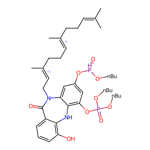 CCCCO[PH](=O)Oc1cc(OP(=O)(OCCCC)OCCCC)c2c(c1)N(C/C=C(\C)CC/C=C(\C)CCC=C(C)C)C(=O)c1cccc(O)c1N2